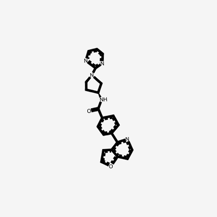 O=C(N[C@H]1CCN(c2ncccn2)C1)c1ccc(-c2nccc3occc23)cc1